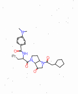 CC(C)CC(NC(=O)c1ccc(N(C)C)cc1)C(=O)N1CCC2C1C(=O)CN2C(=O)CC1CCCC1